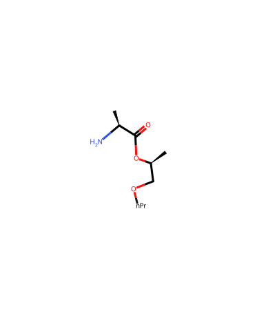 CCCOC[C@H](C)OC(=O)[C@H](C)N